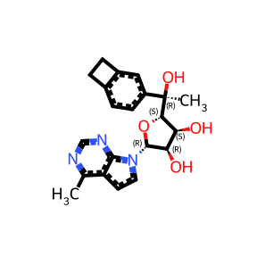 Cc1ncnc2c1ccn2[C@@H]1O[C@H]([C@](C)(O)c2ccc3c(c2)CC3)[C@@H](O)[C@H]1O